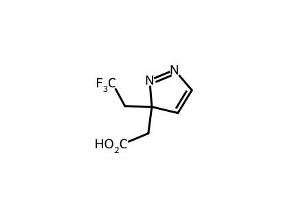 O=C(O)CC1(CC(F)(F)F)C=CN=N1